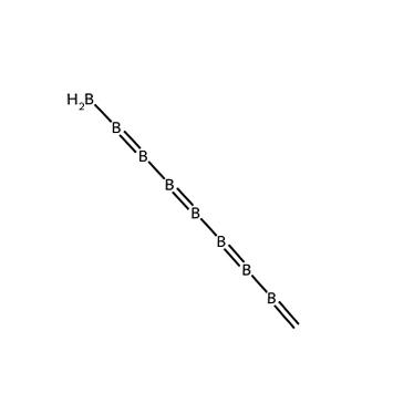 BB=BB=BB=BB=C